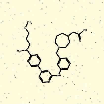 CNCCCN(C)c1ccc(-c2ccnc(Nc3cccc(CN4CCCN(CC(=O)O)CC4)c3)n2)cn1